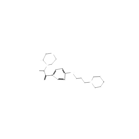 CC(C(=O)c1ccc(OCCCN2CCCCC2)cc1)N1CCOCC1